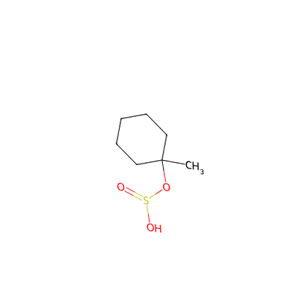 CC1(OS(=O)O)CCCCC1